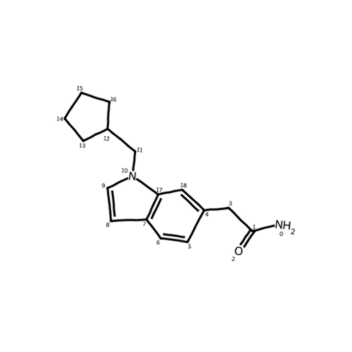 NC(=O)Cc1ccc2ccn(CC3CCCC3)c2c1